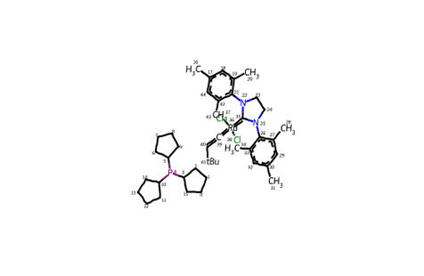 C1CCC(P(C2CCCC2)C2CCCC2)C1.Cc1cc(C)c(N2CCN(c3c(C)cc(C)cc3C)[C]2=[Ru]([Cl])([Cl])=[C]=CC(C)(C)C)c(C)c1